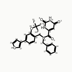 O=C(c1cc(=O)[nH]c(=O)[nH]1)N(Cc1ccccc1)Cc1ccc(-c2ccoc2)cc1OC(F)(F)F